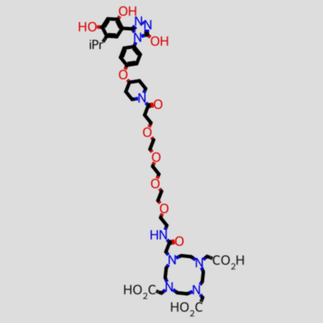 CC(C)c1cc(-c2nnc(O)n2-c2ccc(OC3CCN(C(=O)CCOCCOCCOCCOCCNC(=O)CN4CCN(CC(=O)O)CCN(CC(=O)O)CCN(CC(=O)O)CC4)CC3)cc2)c(O)cc1O